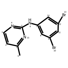 Cc1ccnc(Nc2cc(Br)cc(Br)c2)n1